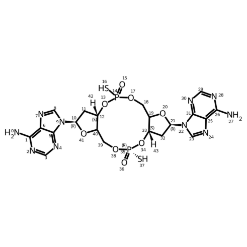 Nc1ncnc2c1ncn2[C@H]1C[C@@H]2OP(=O)(S)OCC3O[C@@H](n4cnc5c(N)ncnc54)C[C@@H]3O[P@](=O)(S)OCC2O1